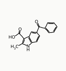 Cc1[nH]c2ccc(C(=O)c3ccccc3)cc2c1C(=O)O